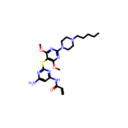 C=CC(=O)Nc1cc(N)nc(Sc2c(OC)nc(N3CCN(CCCCC)CC3)nc2OC)n1